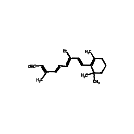 CCC(C=CC1=C(C)CCCC1(C)C)=CC=CC(C)=CC=O